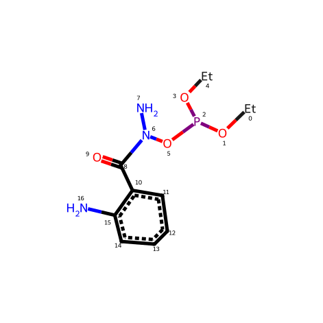 CCOP(OCC)ON(N)C(=O)c1ccccc1N